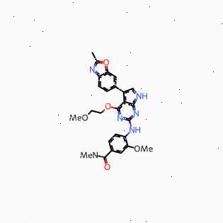 CNC(=O)c1ccc(Nc2nc(OCCOC)c3c(-c4ccc5nc(C)oc5c4)c[nH]c3n2)c(OC)c1